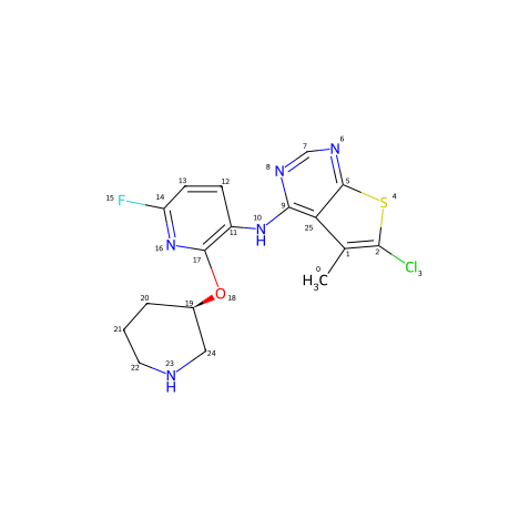 Cc1c(Cl)sc2ncnc(Nc3ccc(F)nc3O[C@@H]3CCCNC3)c12